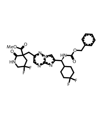 COC(=O)C1(Cc2cnc3nc([C@@H](NC(=O)OCc4ccccc4)C4CCC(F)(F)CC4)cn3n2)CC(F)(F)CNC1=O